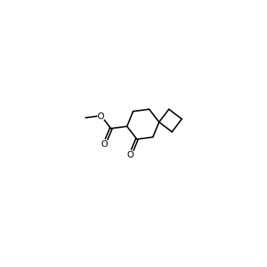 COC(=O)C1CCC2(CCC2)CC1=O